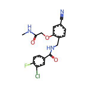 CNC(=O)COc1cc(C#N)ccc1CNC(=O)c1ccc(F)c(Cl)c1